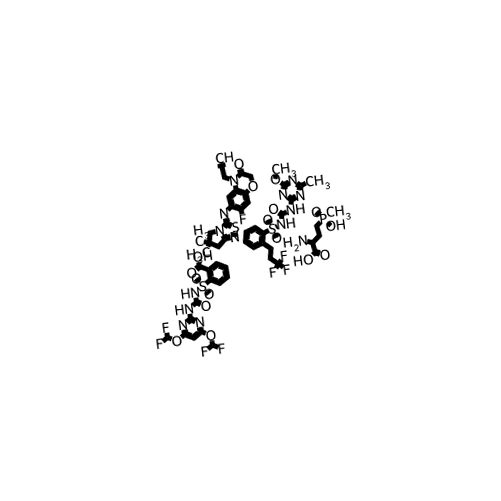 C#CCN1C(=O)COc2cc(F)c(/N=c3\snc4n3CC(C)(C)C4)cc21.COc1nc(C)nc(NC(=O)NS(=O)(=O)c2ccccc2CCC(F)(F)F)n1.CP(=O)(O)CCC(N)C(=O)O.O=C(Nc1nc(OC(F)F)cc(OC(F)F)n1)NS(=O)(=O)c1ccccc1C(=O)O